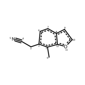 Cc1c(CC#N)ccc2ccoc12